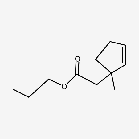 CCCOC(=O)CC1(C)C=CCC1